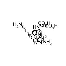 NCCCCCCN(Cc1cnc2nc(N)nc(N)c2n1)c1ccc(C(=O)NC(CCC(=O)O)C(=O)O)cc1